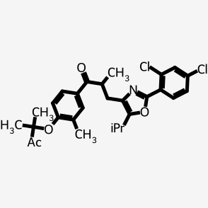 CC(=O)C(C)(C)Oc1ccc(C(=O)C(C)Cc2nc(-c3ccc(Cl)cc3Cl)oc2C(C)C)cc1C